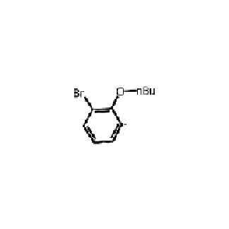 CCCCOc1[c]cccc1Br